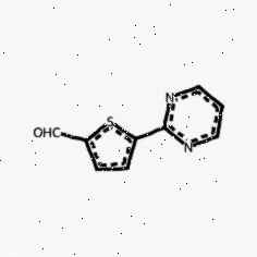 O=Cc1ccc(-c2ncccn2)s1